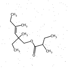 CC/C(C)=C/C(C)(CC)COC(=O)C(C)CC